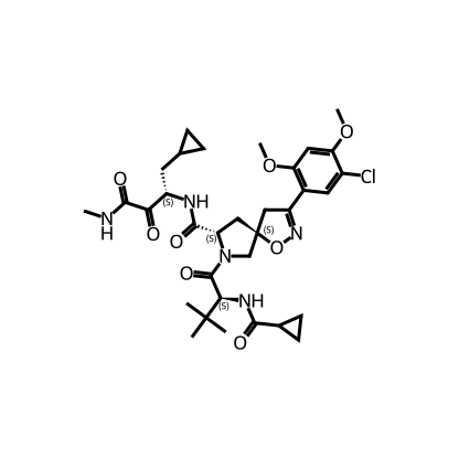 CNC(=O)C(=O)[C@H](CC1CC1)NC(=O)[C@@H]1C[C@]2(CC(c3cc(Cl)c(OC)cc3OC)=NO2)CN1C(=O)[C@@H](NC(=O)C1CC1)C(C)(C)C